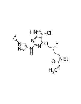 C=CC(=O)N(CC)CC[C@@H](F)COc1nc(Nc2cnn(C3CC3)c2)nc2[nH]cc(Cl)c12